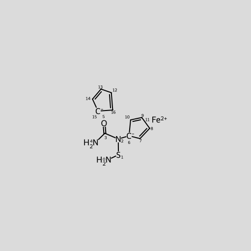 NSN(C(N)=O)[c-]1cccc1.[Fe+2].c1cc[cH-]c1